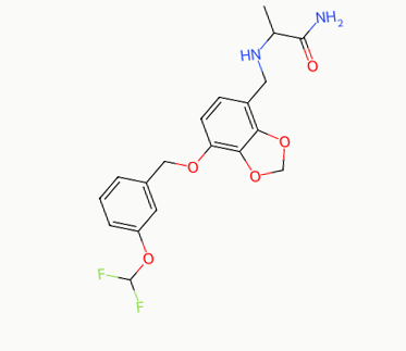 CC(NCc1ccc(OCc2cccc(OC(F)F)c2)c2c1OCO2)C(N)=O